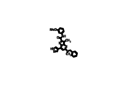 COc1cccc(NC(=O)c2nn3c(-c4cn[nH]c4)cc(N(C)Cc4ccccc4)nc3c2C)c1